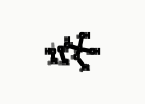 CCO.CCO.CCO[Si](O)(O)O